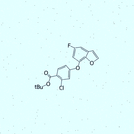 CC(C)(C)OC(=O)c1ccc(Oc2cc(F)cc3ccoc23)cc1Cl